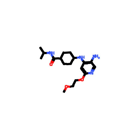 COCCOc1cc(NC2CCC(C(=O)NC(C)C)CC2)c(N)cn1